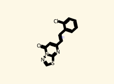 O=c1cc(/C=C/c2ccccc2Cl)nc2scnn12